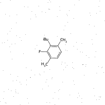 CCC(C)c1c(C)ccc(C)c1F